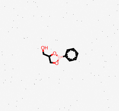 OCC1COB(c2ccccc2)O1